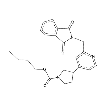 CCCCOC(=O)N1CCC(c2ccnc(CN3C(=O)c4ccccc4C3=O)c2)C1